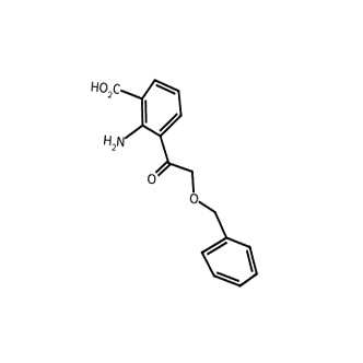 Nc1c(C(=O)O)cccc1C(=O)COCc1ccccc1